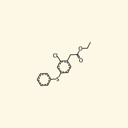 CCOC(=O)Cc1ccc(Sc2ccccc2)cc1Cl